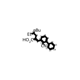 CCCCC(CC)CC(=Cc1cccc(-c2ccccc2)c1C#N)C(=O)O